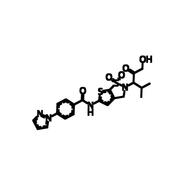 CC(C)C(C(=O)CO)N1Cc2cc(NC(=O)c3ccc(-n4cccn4)cc3)sc2S1(=O)=O